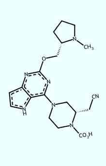 CN1CCC[C@H]1COc1nc(N2CCN(C(=O)O)[C@@H](CC#N)C2)c2[nH]ccc2n1